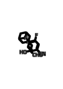 N#Cc1ccc(N2C3CC2CN(CC(O)C=O)C3)c(F)c1